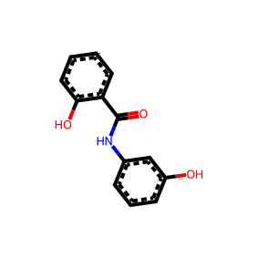 O=C(Nc1cccc(O)c1)c1c[c]ccc1O